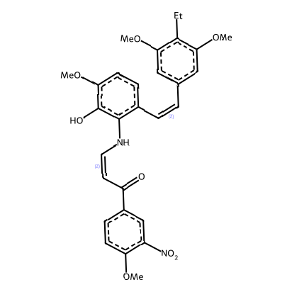 CCc1c(OC)cc(/C=C\c2ccc(OC)c(O)c2N/C=C\C(=O)c2ccc(OC)c([N+](=O)[O-])c2)cc1OC